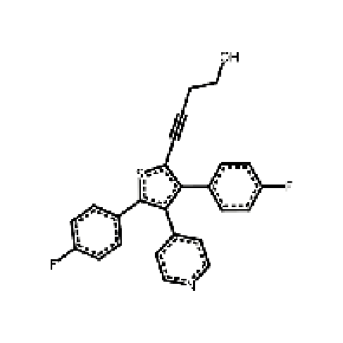 OCCC#Cc1sc(-c2ccc(F)cc2)c(-c2ccncc2)c1-c1ccc(F)cc1